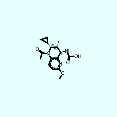 COc1ccc2c(n1)[C@H](NC(=O)O)[C@@H](C)[C@@H](C1CC1)N2C(C)=O